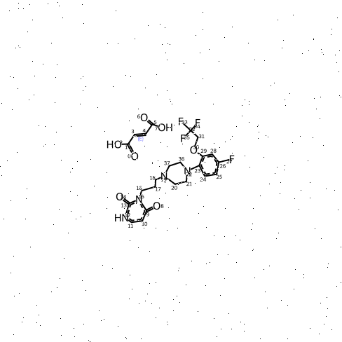 O=C(O)/C=C/C(=O)O.O=c1cc[nH]c(=O)n1CCCN1CCN(c2ccc(F)cc2OCC(F)(F)F)CC1